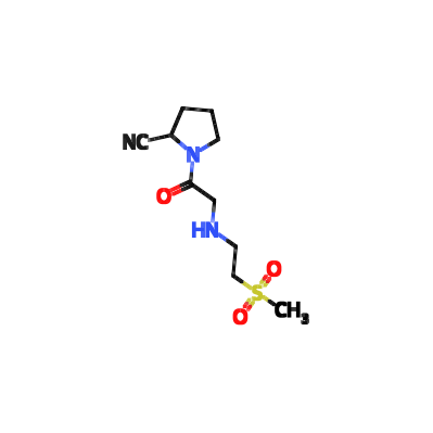 CS(=O)(=O)CCNCC(=O)N1CCCC1C#N